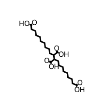 O=C(O)CCCCCCCCCC(C(=O)O)C(CCCCCCCCC(=O)O)C(=O)O